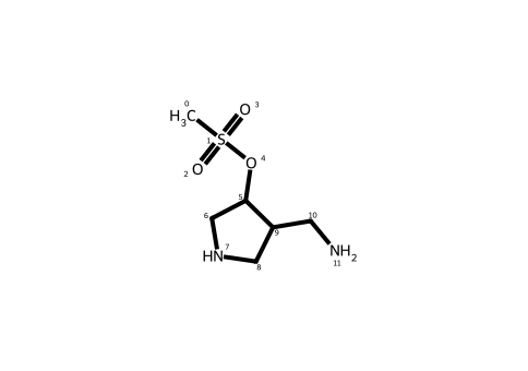 CS(=O)(=O)OC1CNCC1CN